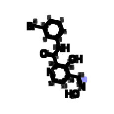 O=C(Nc1cccc(Br)c1)c1nccc(/C=N\O)c1O